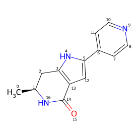 C[C@H]1Cc2[nH]c(-c3ccncc3)cc2C(=O)N1